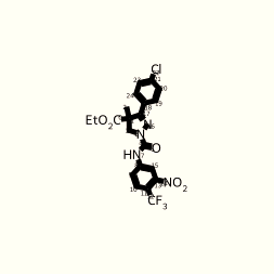 CCOC(=O)C1(C)CN(C(=O)Nc2ccc(C(F)(F)F)c([N+](=O)[O-])c2)N=C1c1ccc(Cl)cc1